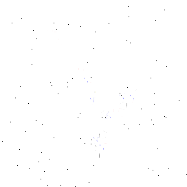 C/C=C1\CC2C=Nc3cc(OCc4cc(OCCN(C)CC(C)(C)SCC(=O)NCCOCCOCCOCCOCCC(=O)OC)cc(COc5cc6c(cc5OC)C(=O)N5C/C(=C/C)C[C@H]5C=N6)n4)c(OC)cc3C(=O)N2C1